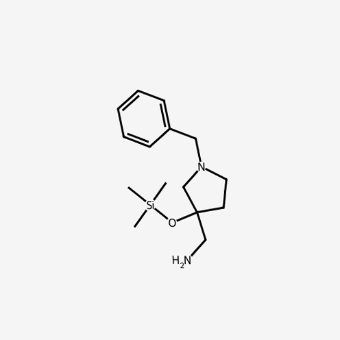 C[Si](C)(C)OC1(CN)CCN(Cc2ccccc2)C1